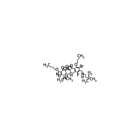 CCCCOc1noc2c1C(=O)[C@@]1(O)C(O)=C3C(=O)c4c(c(F)c(CNCCC(C)(C)C)c(Br)c4OCCCC)C[C@H]3C[C@H]1[C@@H]2N(C)C